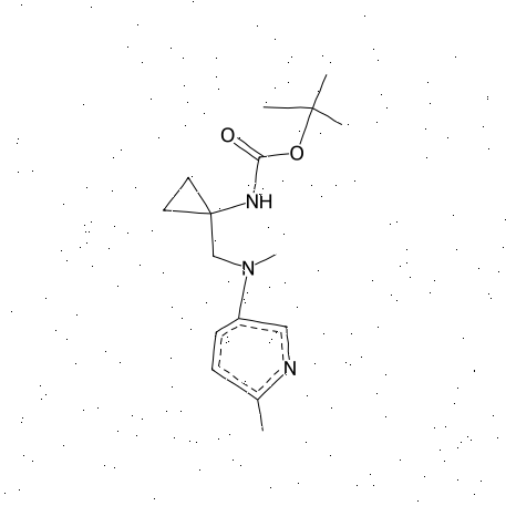 Cc1ccc(N(C)CC2(NC(=O)OC(C)(C)C)CC2)cn1